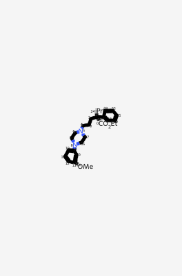 CCOC(=O)C(CCCN1CCN(c2cccc(OC)c2)CC1)(c1ccccc1)C(C)C